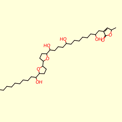 CCCCCCCCCCC(O)C1CCC(C2CCC(C(O)CCCC(O)CCCCCCC(O)CC3=CC(C)OC3=O)O2)O1